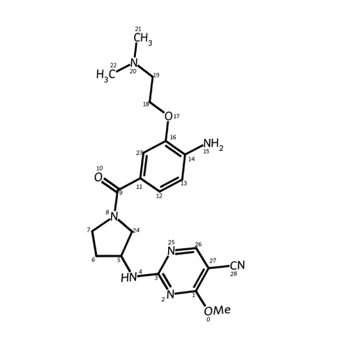 COc1nc(NC2CCN(C(=O)c3ccc(N)c(OCCN(C)C)c3)C2)ncc1C#N